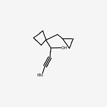 CC(C)(C)C#CC(O)C1(CC2CC2)CCC1